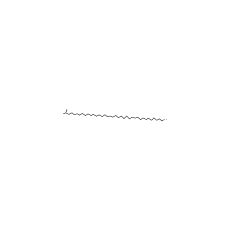 [CH2]CCCCCCCCCCCCCCCCCCCCCCCCCCCCCCCCCCCC(C)C